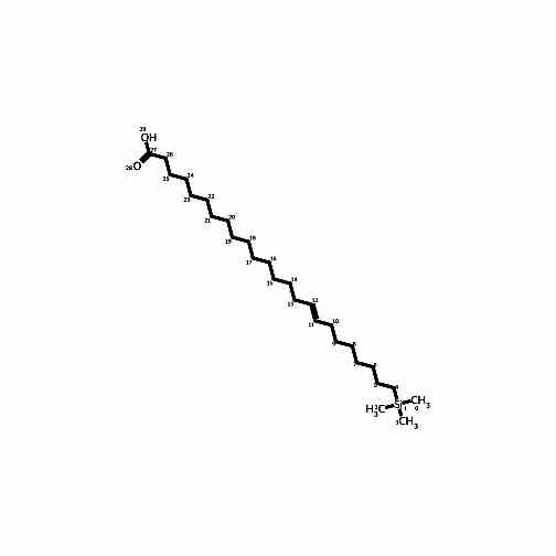 C[Si](C)(C)CCCCCCC/C=C/CCCCCCCCCCCCCCC(=O)O